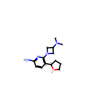 CN(C)C1CN(c2nc(N)ccc2C2CCCO2)C1